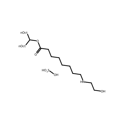 CCCCCCCCC(CCCCCCCC)OC(=O)CCCCCCCNCCO.O=S(=O)(O)O